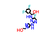 OCCn1cc(Nc2ncc(F)c(NC(CO)c3cc(F)cc(F)c3)n2)cn1